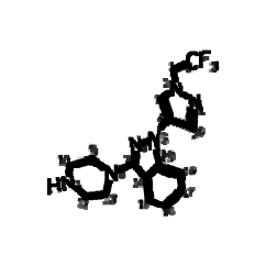 FC(F)(F)Cn1cc(-n2nc(N3CCNCC3)c3ccccc32)cn1